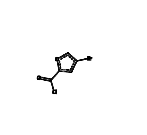 O=C(Cl)c1cc(Br)co1